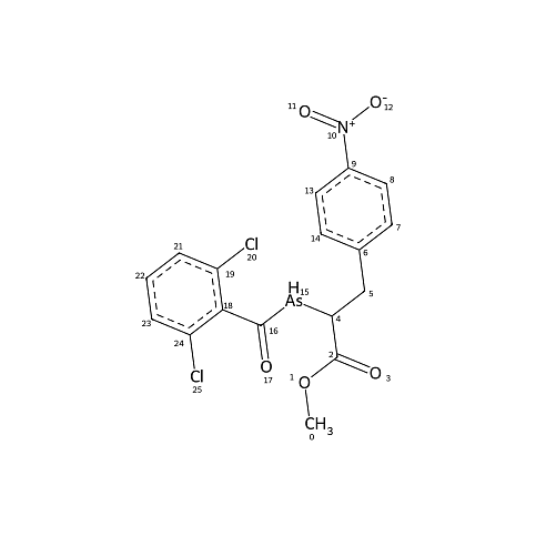 COC(=O)C(Cc1ccc([N+](=O)[O-])cc1)[AsH]C(=O)c1c(Cl)cccc1Cl